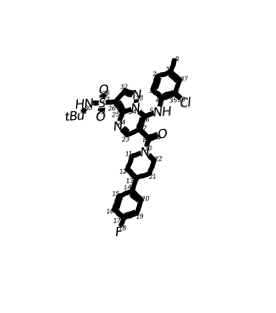 Cc1ccc(Nc2c(C(=O)N3CCC(c4ccc(F)cc4)CC3)cnc3c(S(=O)(=O)NC(C)(C)C)cnn23)c(Cl)c1